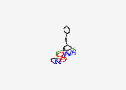 O=S(=O)(Nc1c(F)cc(C#Cc2ccccc2)cc1F)c1ccccn1